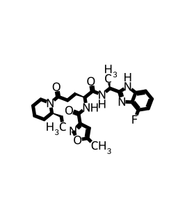 CC[C@H]1CCCCN1C(=O)CC[C@H](NC(=O)c1cc(C)on1)C(=O)N[C@@H](C)c1nc2c(F)cccc2[nH]1